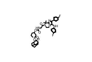 CC1(C)c2nc(-c3ccc(F)cc3)c(Nc3ccc(F)cc3)n2CCN1C(=O)CNC(=O)OC1CCC[C@]2(C1)OOC1(O2)C2CC3CC(C2)CC1C3